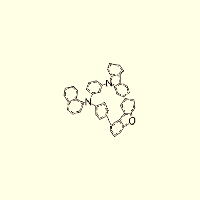 c1cc(N(c2ccc(-c3cccc4oc5ccccc5c34)cc2)c2cccc3ccccc23)cc(-n2c3ccccc3c3ccccc32)c1